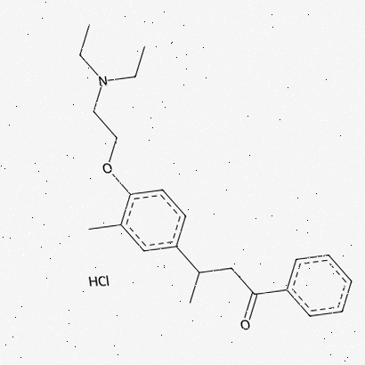 CCN(CC)CCOc1ccc(C(C)CC(=O)c2ccccc2)cc1C.Cl